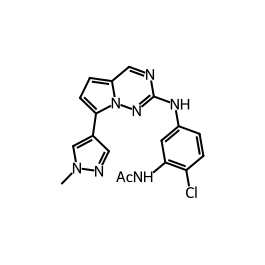 CC(=O)Nc1cc(Nc2ncc3ccc(-c4cnn(C)c4)n3n2)ccc1Cl